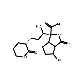 CC(CC[C@H]1CCCNC1=O)[C@]1(C(N)=O)NC(=O)C2C(O)CCC21